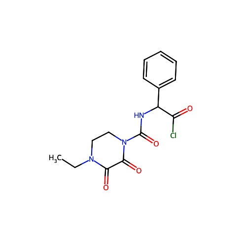 CCN1CCN(C(=O)NC(C(=O)Cl)c2ccccc2)C(=O)C1=O